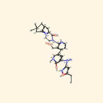 CCc1cc(Nc2cc(-c3ccnc(N4CCn5c(cc6c5CC(C)(C)C6)C4=O)c3CO)cn(C)c2=O)no1